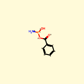 NP(O)OC(=O)c1ccccc1